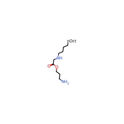 CCCCCCCCCCCCNCC(=O)OCCCN